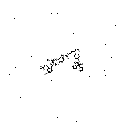 COc1cc(NC(=O)OCCN(C)[C@H]2CC[C@H](OC(=O)C(O)(c3cccs3)c3cccs3)CC2)c(Cl)cc1CNC[C@H](O[Si](C)(C)C(C)(C)C)c1ccc(O)c2c1OCC(=O)N2